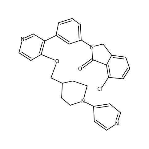 O=C1c2c(Cl)cccc2CN1c1cccc(-c2cnccc2OCC2CCN(c3ccncc3)CC2)c1